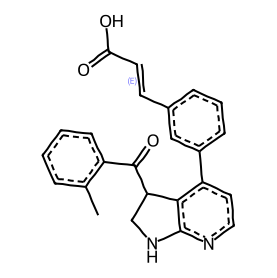 Cc1ccccc1C(=O)C1CNc2nccc(-c3cccc(/C=C/C(=O)O)c3)c21